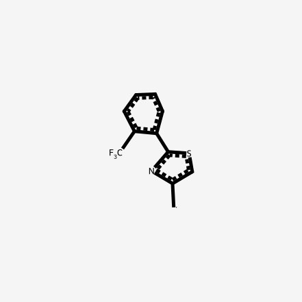 [CH2]c1csc(-c2ccccc2C(F)(F)F)n1